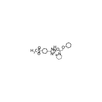 CS(=O)(=O)c1ccc(-c2n[nH]c([C@H]3CCCCN3C(=O)COc3ccccc3)n2)cc1